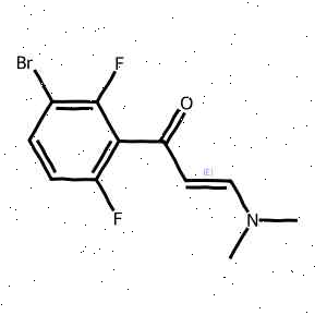 CN(C)/C=C/C(=O)c1c(F)ccc(Br)c1F